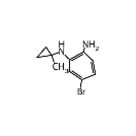 CC1(Nc2cc(Br)ccc2N)CC1